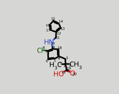 CC(C)(Cc1ccc(Cl)c(NCc2ccccc2)c1)C(=O)O